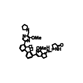 COc1nc(-c2cccc(-c3cccc(-c4cc5c(c(OC)n4)[C@@H](NC[C@@H]4CCC(=O)N4)CC5)c3Cl)c2Cl)cnc1CN1CCCC1